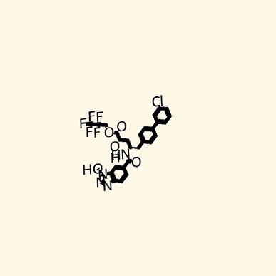 O=C(N[C@H](Cc1ccc(-c2cccc(Cl)c2)cc1)C[C@@H](O)C(=O)OCC(F)(F)C(F)(F)F)c1ccc2nnn(O)c2c1